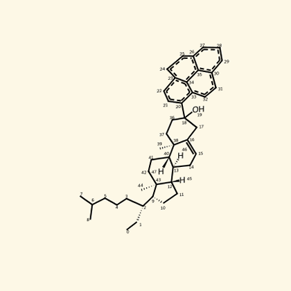 CC[C@H](CCCC(C)C)[C@H]1CC[C@H]2[C@@H]3CC=C4CC(O)(c5ccc6ccc7cccc8ccc5c6c78)CC[C@]4(C)[C@H]3CC[C@]12C